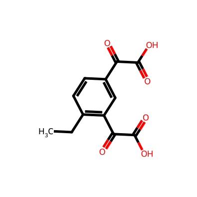 CCc1ccc(C(=O)C(=O)O)cc1C(=O)C(=O)O